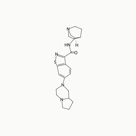 O=C(N[C@H]1CN2CCC1CC2)c1nsc2cc(N3CCN4CCCC4C3)ccc12